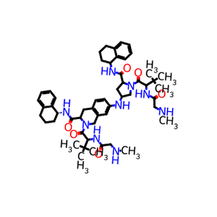 CNCC(=O)NC(C(=O)N1CC(Nc2ccc3c(c2)CN(C(=O)C(NC(=O)CNC)C(C)(C)C)C(C(=O)N[C@@H]2CCCc4ccccc42)C3)CC1C(=O)NC1CCCc2ccccc21)C(C)(C)C